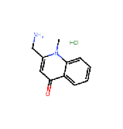 Cl.Cn1c(CN)cc(=O)c2ccccc21